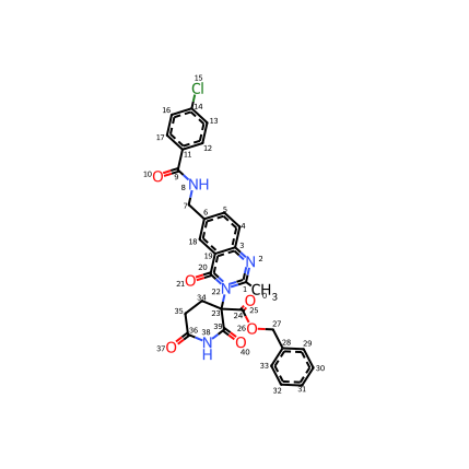 Cc1nc2ccc(CNC(=O)c3ccc(Cl)cc3)cc2c(=O)n1C1(C(=O)OCc2ccccc2)CCC(=O)NC1=O